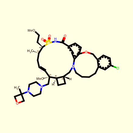 COCC[C@@H]1[C@@H](C)C/C=C/[C@@](CN2CCN(C3(C)COC3)CC2)(OC)[C@@H]2CC[C@H]2CN2CCCCc3cc(Cl)ccc3COc3ccc(cc32)C(=O)NS1(=O)=O